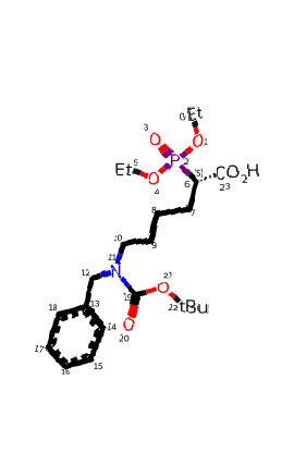 CCOP(=O)(OCC)[C@@H](CCCCN(Cc1ccccc1)C(=O)OC(C)(C)C)C(=O)O